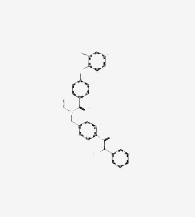 CCN(Cc1ccc(C(=O)C(O)c2ccccc2)cc1)C(=O)c1ccc(Oc2ccccc2Cl)cc1